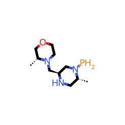 C[C@@H]1CN[C@@H](CN2CCOC[C@H]2C)CN1P